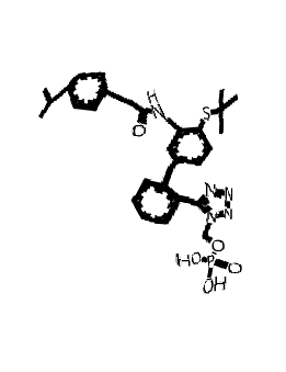 CC(C)c1ccc(CC(=O)Nc2cc(-c3ccccc3-c3nnnn3COP(=O)(O)O)ccc2SC(C)(C)C)cc1